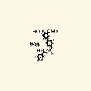 COc1cc(-c2ccc(C[C@@H](C)NC[C@@H](O)c3cccnc3)cc2)ccc1C(=O)O.Cl.Cl